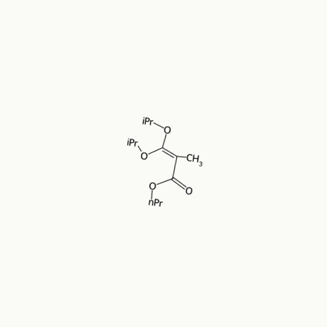 CCCOC(=O)C(C)=C(OC(C)C)OC(C)C